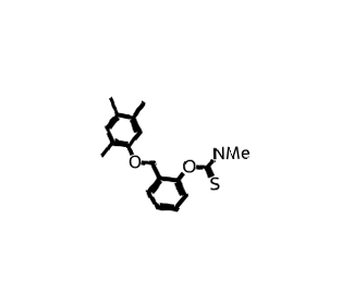 CNC(=S)Oc1ccccc1COc1cc(C)c(C)cc1C